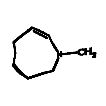 CN1C=CCCCC1